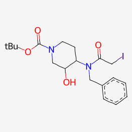 CC(C)(C)OC(=O)N1CCC(N(Cc2ccccc2)C(=O)CI)C(O)C1